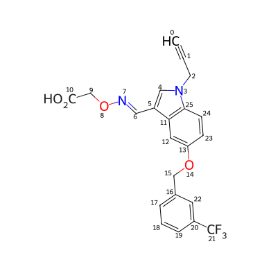 C#CCn1cc(C=NOCC(=O)O)c2cc(OCc3cccc(C(F)(F)F)c3)ccc21